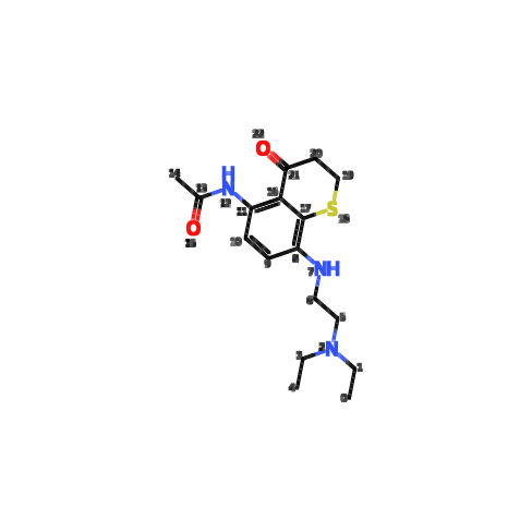 CCN(CC)CCNc1ccc(NC(C)=O)c2c1SCCC2=O